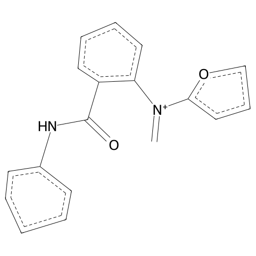 C=[N+](c1ccco1)c1ccccc1C(=O)Nc1ccccc1